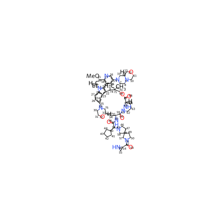 CCn1c(-c2cc(N3CCN4CCOC[C@@H]4C3)cnc2[C@H](C)OC)c2c3cc(ccc31)N1CCO[C@@H](C[C@H](NC(=O)C(C3CCCC3)N3CC[C@]4(CCN(C(=O)[C@H]5CN5)C4)C3)C(=O)N3CCC[C@H](N3)C(=O)OCC(C)(C)C2)C1